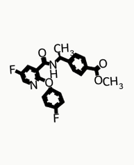 COC(=O)c1ccc([C@H](C)NC(=O)c2cc(F)cnc2Oc2ccc(F)cc2)cc1